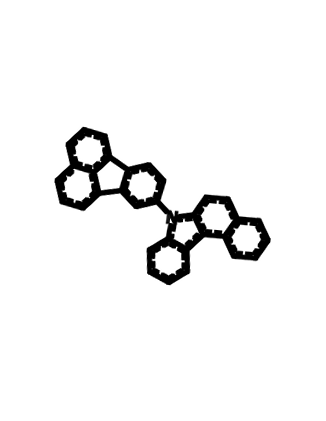 c1cc2c3c(cccc3c1)-c1cc(-n3c4ccccc4c4c5ccccc5ccc43)ccc1-2